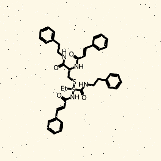 CCS(NC(=O)C=Cc1ccccc1)(SCC(NC(=O)C=Cc1ccccc1)C(=O)NCCc1ccccc1)C(=O)NCCc1ccccc1